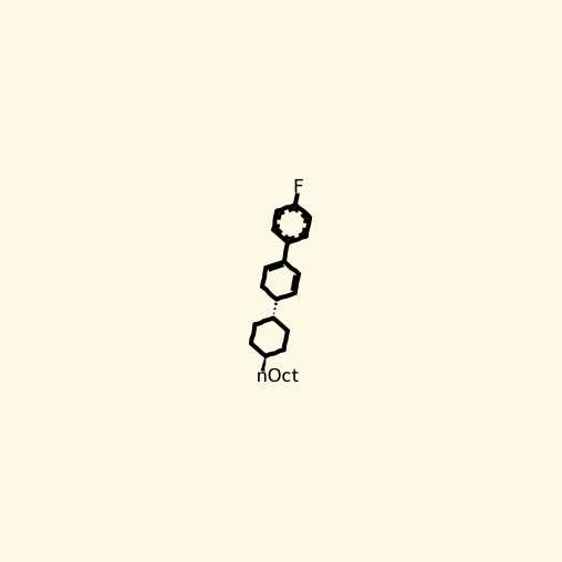 CCCCCCCC[C@H]1CC[C@H](C2C=CC(c3ccc(F)cc3)=CC2)CC1